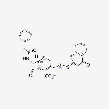 O=C(Cc1ccccc1)NC1C(=O)N2C(C(=O)O)=C(/C=C/Sc3cc(=O)c4ccccc4s3)CS[C@H]12